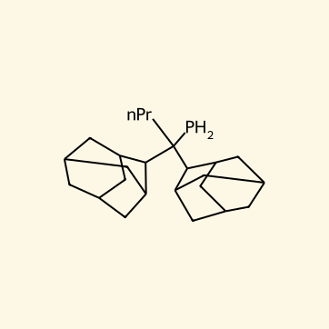 CCCC(P)(C1C2CC3CC(C2)CC1C3)C1C2CC3CC(C2)CC1C3